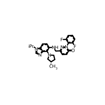 CC(C)n1cnc2c(N3CC[C@H](C)C3)c(NCc3ccc(=O)n(-c4c(F)cccc4F)n3)ccc21